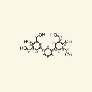 OCc1cc(-c2cccc(-c3cc(CO)c(O)c(CO)c3)c2)cc(CO)c1O